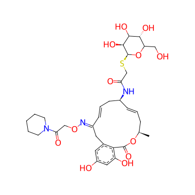 C[C@@H]1C/C=C/[C@H](NC(=O)CS[C@@H]2OC(CO)[C@@H](O)C(O)[C@@H]2O)C/C=C/C(=N/OCC(=O)N2CCCCC2)Cc2cc(O)cc(O)c2C(=O)O1